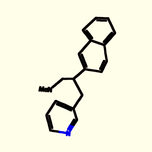 CNCC(Cc1cccnc1)c1ccc2ccccc2c1